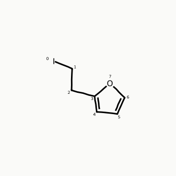 ICCc1ccco1